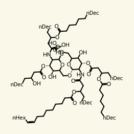 CCCCCC/C=C\CCCCCCCC(=O)OC(CCCCCCCCCCC)CC(=O)NC1[C@H](OCC2OC(OP(=O)(O)O)C(NC(=O)CC(CCCCCCCCCCC)OC(=O)CCCCCCCCCCCCCCC)[C@@H](OC(=O)CC(O)CCCCCCCCCCC)[C@@H]2O)OC(CO)C(O)[C@@H]1OC(=O)CC(CCCCCCCCCCC)OC(=O)CCCCCCCCCCCCCCC